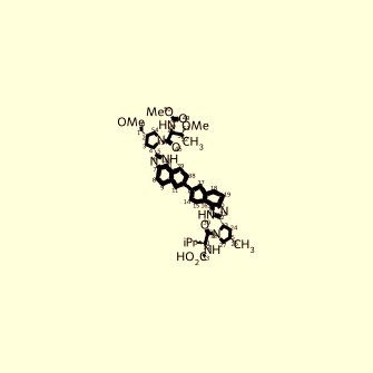 COC[C@H]1C[C@@H](c2nc3ccc4cc(-c5ccc6c(ccc7nc([C@@H]8C[C@H](C)CN8C(=O)[C@@H](NC(=O)O)C(C)C)[nH]c76)c5)ccc4c3[nH]2)N(C(=O)[C@@H](NC(=O)OC)[C@@H](C)OC)C1